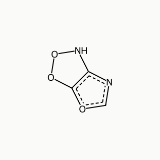 c1nc2c(o1)OON2